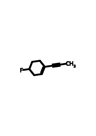 CC#CC1=CCC(F)CC1